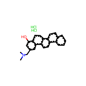 CN(C)Cc1cc(O)c2ccc3c(ccc4c5ccccc5ccc43)c2c1.Cl.Cl